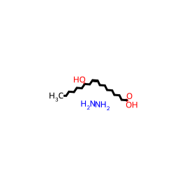 CCCCCCC(O)C/C=C\CCCCCCCC(=O)O.NN